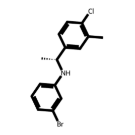 Cc1cc([C@@H](C)Nc2cccc(Br)c2)ccc1Cl